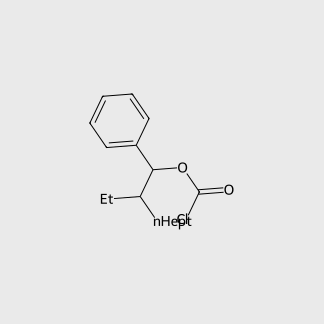 CCCCCCCC(CC)C(OC(=O)Cl)c1ccccc1